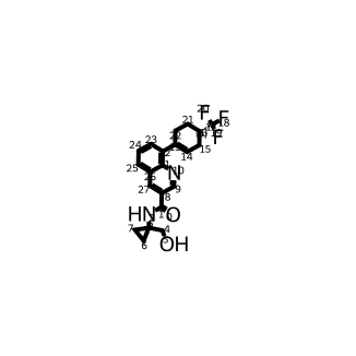 O=C(NC1(CO)CC1)c1cnc2c(C3=CC[C@@H](C(F)(F)F)CC3)cccc2c1